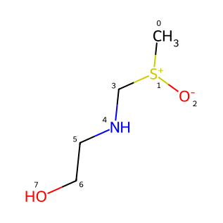 C[S+]([O-])CNCCO